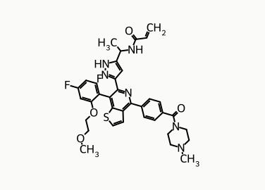 C=CC(=O)NC(C)c1cc(-c2nc(-c3ccc(C(=O)N4CCN(C)CC4)cc3)c3ccsc3c2-c2c(F)cc(F)cc2OCCOC)n[nH]1